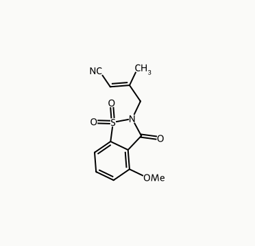 COc1cccc2c1C(=O)N(CC(C)=CC#N)S2(=O)=O